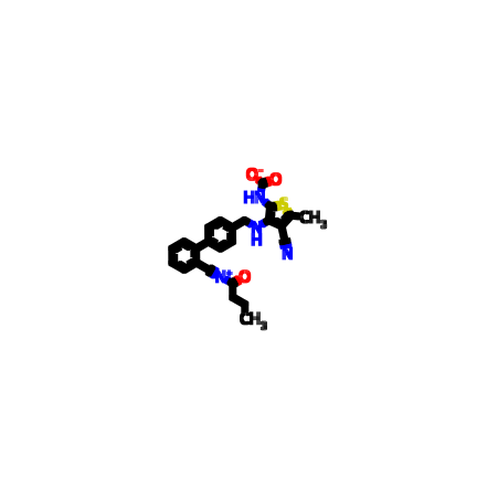 CCCC(=O)[N+]#Cc1ccccc1-c1ccc(CNc2c(NC(=O)[O-])sc(C)c2C#N)cc1